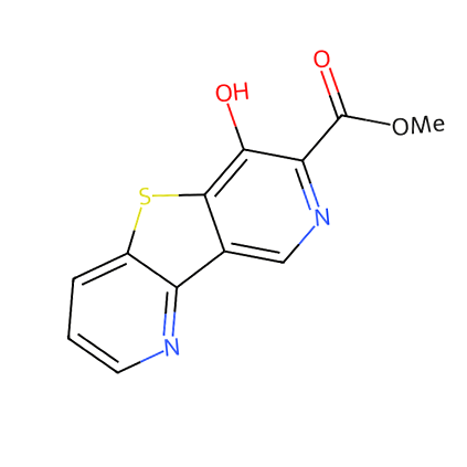 COC(=O)c1ncc2c(sc3cccnc32)c1O